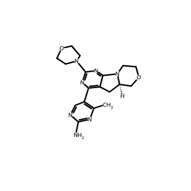 Cc1nc(N)ncc1-c1nc(N2CCOCC2)nc2c1C[C@@H]1COCCN21